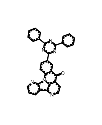 O=c1c2cc(-c3nc(-c4ccccc4)nc(-c4ccccc4)n3)ccc2n2c3ncccc3c3nccc1c32